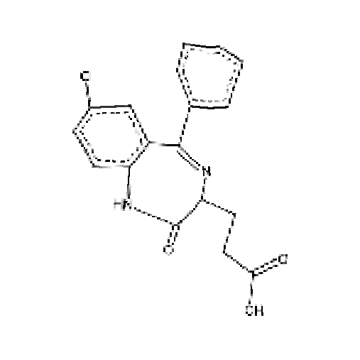 O=C(O)CCC1N=C(c2ccccc2)c2cc(Cl)ccc2NC1=O